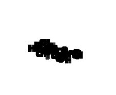 Cc1n[nH]c(C)c1-c1ccc2c(Oc3cccc(C(=O)NCc4ccncc4)c3C)ccnc2c1